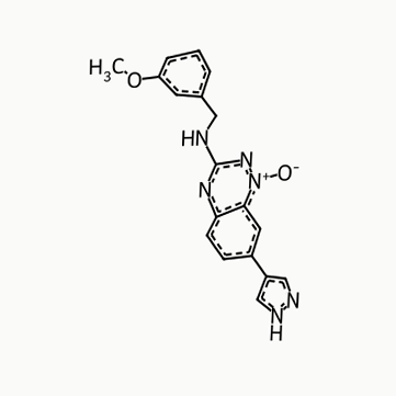 COc1cccc(CNc2nc3ccc(-c4cn[nH]c4)cc3[n+]([O-])n2)c1